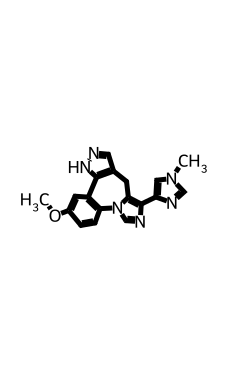 COc1ccc2c(c1)-c1[nH]ncc1Cc1c(-c3cn(C)cn3)ncn1-2